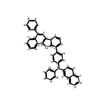 C1=CC2c3cc(-c4ccccc4)c4ccccc4c3OC2C(c2ccc(N(c3ccccc3)c3ccc4ccccc4c3)cc2)=C1